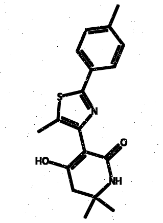 Cc1ccc(-c2nc(C3=C(O)CC(C)(C)NC3=O)c(C)s2)cc1